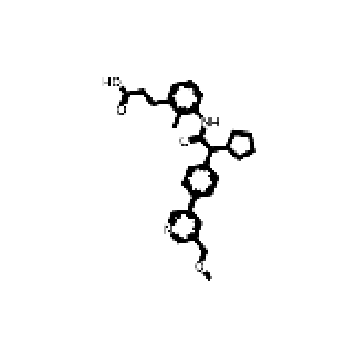 COCc1cncc(-c2ccc(C(C(=O)Nc3cccc(CCC(=O)O)c3C)C3CCCC3)cc2)c1